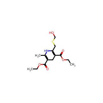 CCOC(=O)C1=C(C)NC(CSCO)=C(C(=O)OCC)C1